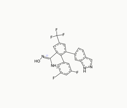 N/C(=N\O)c1cc(C(F)(F)F)cc(-c2ccc3cn[nH]c3c2)c1-c1cc(F)cc(F)c1